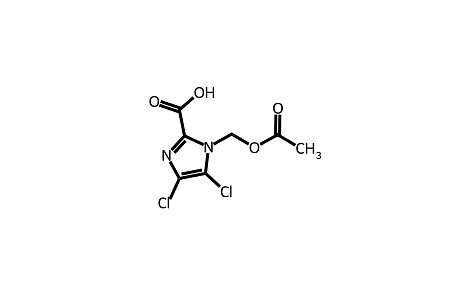 CC(=O)OCn1c(C(=O)O)nc(Cl)c1Cl